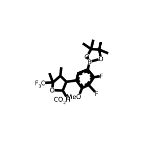 COc1c(C2C(C(=O)O)OC(C)(C(F)(F)F)C2C)cc(B2OC(C)(C)C(C)(C)O2)c(F)c1F